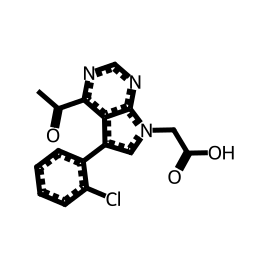 CC(=O)c1ncnc2c1c(-c1ccccc1Cl)cn2CC(=O)O